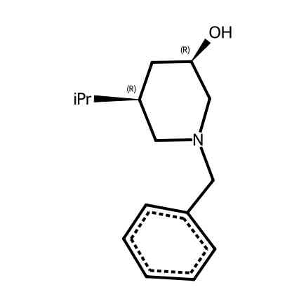 CC(C)[C@H]1C[C@@H](O)CN(Cc2ccccc2)C1